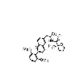 COc1cccc(OC)c1-c1ccc2cc(C[C@@H](NC(=O)[C@@]3(C)CCCO3)C(=O)O)ccc2n1